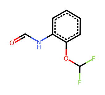 O=[C]Nc1ccccc1OC(F)F